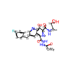 COC(=O)NNC(=O)c1nc(C(=O)NC(C)CO)c(O)c2ncc(Cc3ccc(F)cc3)cc12